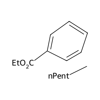 CCCCCC.CCOC(=O)c1ccccc1